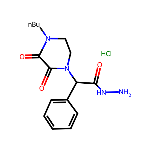 CCCCN1CCN(C(C(=O)NN)c2ccccc2)C(=O)C1=O.Cl